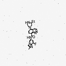 CCC1CN(c2ccc(C(=O)Nc3cc(F)c4nc(C)cn4c3)c3nnccc23)CCN1